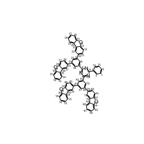 c1ccc(-c2nc(-c3cc(-c4ccc5oc6ccccc6c5c4)cc(-c4ccc5oc6ccccc6c5c4)c3)nc(-c3cc(-c4ccc5oc6ccccc6c5c4)cc(-c4ccc5oc6ccccc6c5c4)c3)n2)cc1